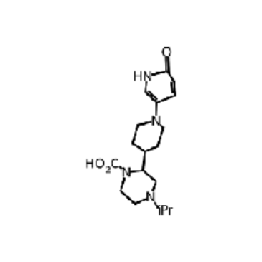 CC(C)N1CCN(C(=O)O)C(C2CCN(c3ccc(=O)[nH]c3)CC2)C1